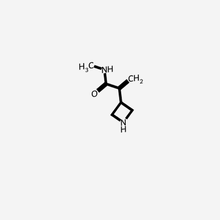 C=C(C(=O)NC)C1CNC1